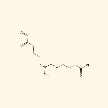 C=CC(=O)OCCCN(C)CCCCCC(=O)O